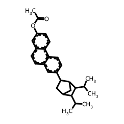 CC(=O)Oc1ccc2c(ccc3cc(C4CC5CC4C(C(C)C)C5C(C)C)ccc32)c1